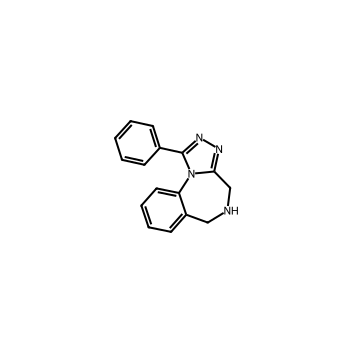 c1ccc(-c2nnc3n2-c2ccccc2CNC3)cc1